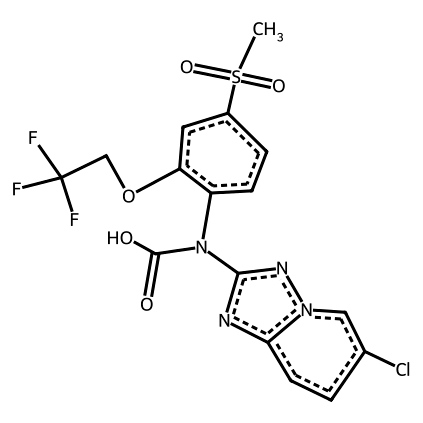 CS(=O)(=O)c1ccc(N(C(=O)O)c2nc3ccc(Cl)cn3n2)c(OCC(F)(F)F)c1